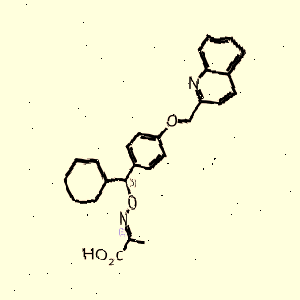 C/C(=N\O[C@H](c1ccc(OCc2ccc3ccccc3n2)cc1)C1CCCCC1)C(=O)O